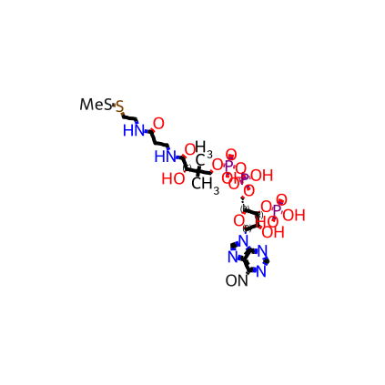 CSSCCNC(=O)CCNC(=O)[C@@H](O)C(C)(C)COP(=O)(O)OP(=O)(O)OC[C@H]1O[C@@H](n2cnc3c(N=O)ncnc32)C(O)[C@H]1OP(=O)(O)O